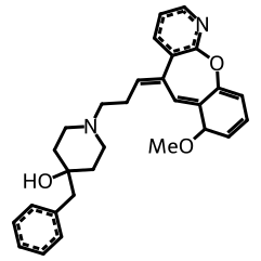 COC1C=CC=C2Oc3ncccc3C(=CCCN3CCC(O)(Cc4ccccc4)CC3)C=C21